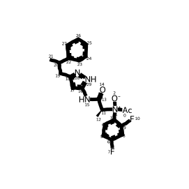 CC(=O)[N+]([O-])(c1ccc(F)cc1F)[C@@H](C)C(=O)Nc1cc(CC(C)c2ccccc2)n[nH]1